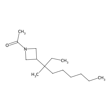 CCCCCCC(C)(CC)C1CN(C(C)=O)C1